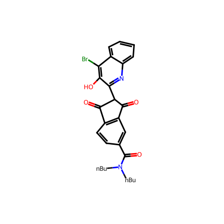 CCCCN(CCCC)C(=O)c1ccc2c(c1)C(=O)C(c1nc3ccccc3c(Br)c1O)C2=O